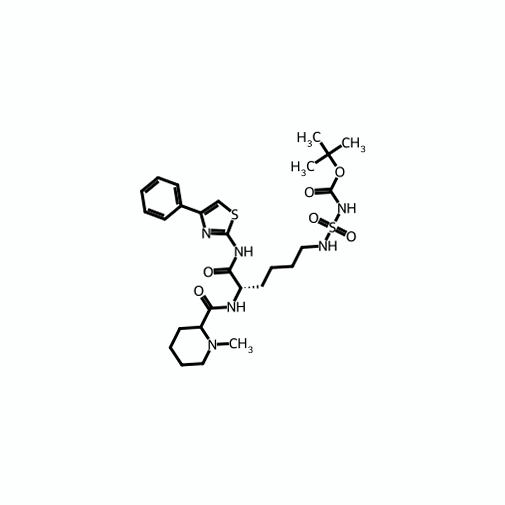 CN1CCCCC1C(=O)N[C@@H](CCCCNS(=O)(=O)NC(=O)OC(C)(C)C)C(=O)Nc1nc(-c2ccccc2)cs1